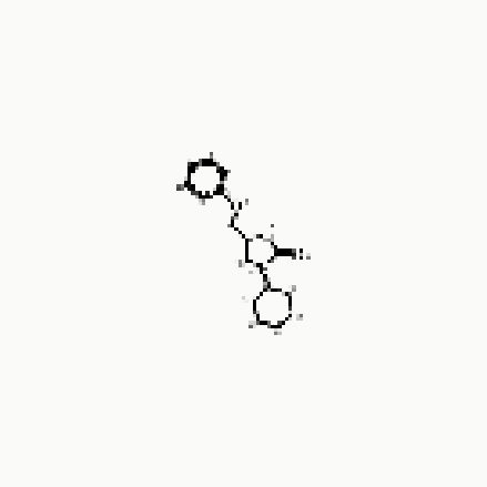 O=C1OC(COc2ccccc2)CN1C1CCCCC1